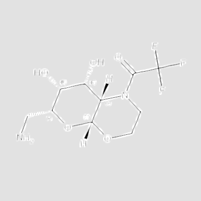 NC[C@H]1O[C@H]2OCCN(C(=O)C(F)(F)F)[C@H]2[C@@H](O)[C@H]1O